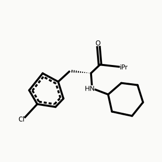 CC(C)C(=O)[C@@H](Cc1ccc(Cl)cc1)NC1CCCCC1